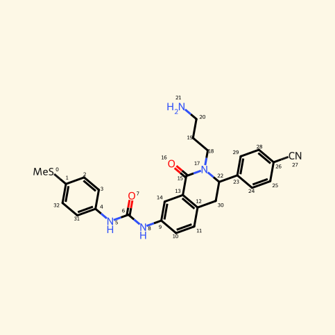 CSc1ccc(NC(=O)Nc2ccc3c(c2)C(=O)N(CCCN)C(c2ccc(C#N)cc2)C3)cc1